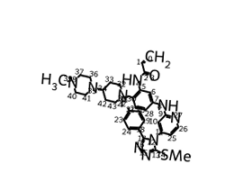 C=CC(=O)Nc1cc(Nc2cc(-n3c(SC)nnc3-c3ccc(F)cc3)ccn2)ccc1N1CCC(N2CCN(C)CC2)CC1